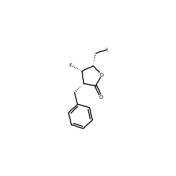 O=C1O[C@@H](CI)[C@@H](F)[C@H]1Cc1ccccc1